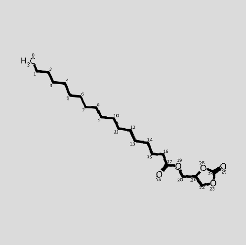 CCCCCCCCCCCCCCCCCC(=O)OCC1COC(=O)O1